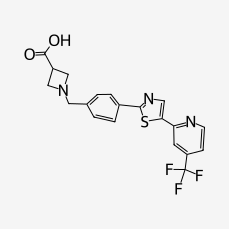 O=C(O)C1CN(Cc2ccc(-c3ncc(-c4cc(C(F)(F)F)ccn4)s3)cc2)C1